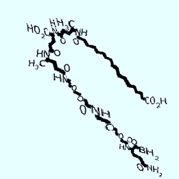 BC(=O)C(CCC(N)=O)NC(=O)COCCOCCNC(=O)COCCOCCNC(=O)CCC(C)NC(=O)CCC(NC(=O)CCC(C)NC(=O)CCCCCCCCCCCCCCCCC(=O)O)C(=O)O